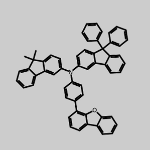 CC1(C)c2ccccc2-c2cc(N(c3ccc(-c4cccc5c4oc4ccccc45)cc3)c3ccc4c(c3)-c3ccccc3C4(c3ccccc3)c3ccccc3)ccc21